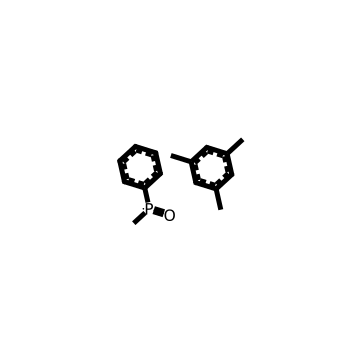 C[P](=O)c1ccccc1.Cc1cc(C)cc(C)c1